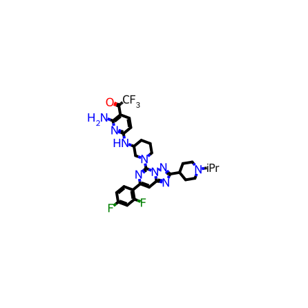 CC(C)N1CCC(c2nc3cc(-c4ccc(F)cc4F)nc(N4CCCC(Nc5ccc(C(=O)C(F)(F)F)c(N)n5)C4)n3n2)CC1